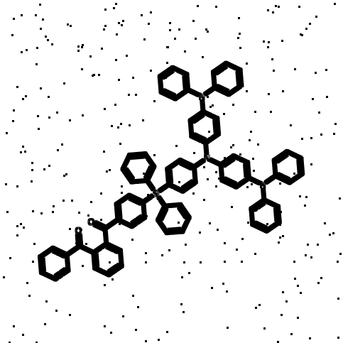 O=C(c1ccccc1)c1ccccc1C(=O)c1ccc([Si](c2ccccc2)(c2ccccc2)c2ccc(N(c3ccc(N(c4ccccc4)c4ccccc4)cc3)c3ccc(N(c4ccccc4)c4ccccc4)cc3)cc2)cc1